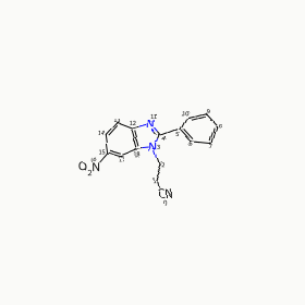 N#CCCn1c(-c2ccccc2)nc2ccc([N+](=O)[O-])cc21